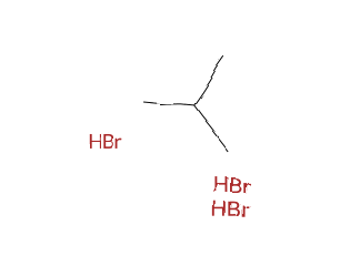 Br.Br.Br.CC(C)C